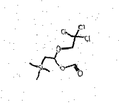 C[Si](C)(C)CC(O[C]=O)OCC(Cl)(Cl)Cl